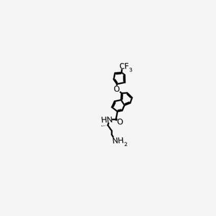 C[C@@H](CCN)NC(=O)c1ccc2c(Oc3ccc(C(F)(F)F)cc3)cccc2c1